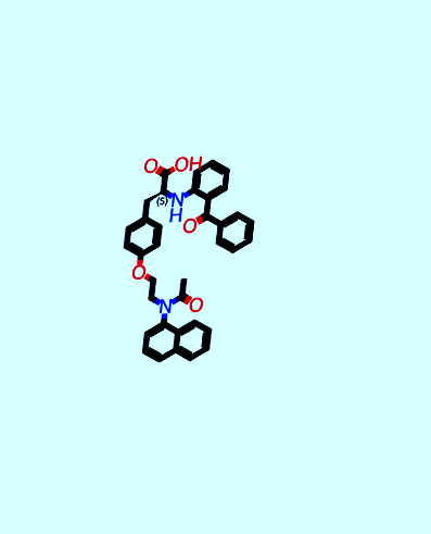 CC(=O)N(CCOc1ccc(C[C@H](Nc2ccccc2C(=O)c2ccccc2)C(=O)O)cc1)c1cccc2ccccc12